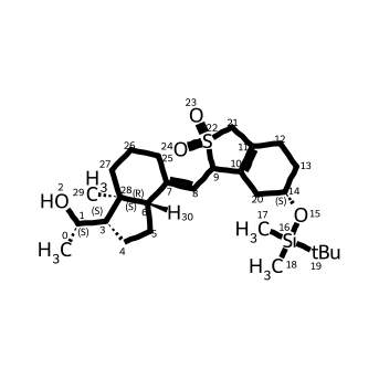 C[C@H](O)[C@H]1CC[C@H]2C(=CC3C4=C(CC[C@H](O[Si](C)(C)C(C)(C)C)C4)CS3(=O)=O)CCC[C@]12C